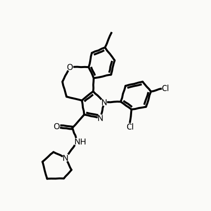 Cc1ccc2c(c1)OCCc1c(C(=O)NN3CCCCC3)nn(-c3ccc(Cl)cc3Cl)c1-2